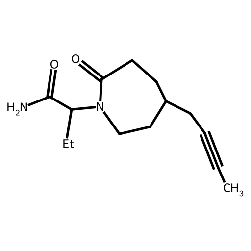 CC#CCC1CCC(=O)N(C(CC)C(N)=O)CC1